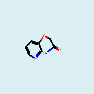 O=C1[C]Oc2cccnc2N1